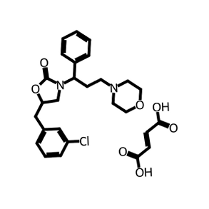 O=C(O)C=CC(=O)O.O=C1OC(Cc2cccc(Cl)c2)CN1C(CCN1CCOCC1)c1ccccc1